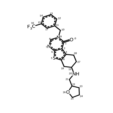 O=c1c2c3c(sc2ncn1Cc1cccc(C(F)(F)F)c1)CC(NCC1CCCO1)CC3